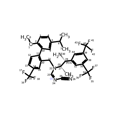 COc1ccc(C(C)C)cc1-c1ccc(C(F)(F)F)cc1CN(/C=N\C#N)[C@@H](C)[C@H](N)c1cc(C(F)(F)F)cc(C(F)(F)F)c1